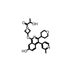 Cc1cc(-c2c(C3CCOCC3)nc(OC3CN(C(=O)C(C)O)C3)c3cc(O)ccc23)ccn1